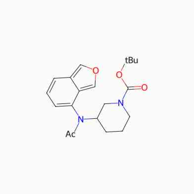 CC(=O)N(c1cccc2cocc12)C1CCCN(C(=O)OC(C)(C)C)C1